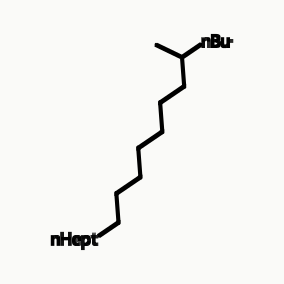 CCC[CH]C(C)CCCCCCCCCCCCCC